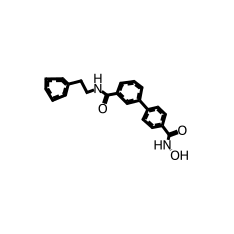 O=C(NO)c1ccc(-c2cccc(C(=O)NCCc3ccccc3)c2)cc1